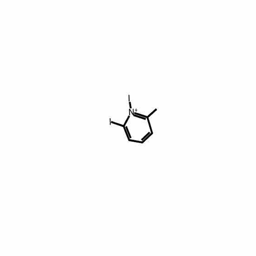 Cc1cccc(I)[n+]1I